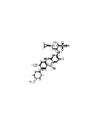 Cc1cc(Nc2ncc(Cl)c(N/C(=C/NC3CC3)C(=N)S(=O)(=O)C(C)C)n2)c(OC(C)C)cc1C1CCN(C)CC1